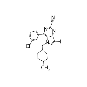 CC1CCC(Cn2cc(I)c3nc(C#N)nc(-c4cccc(Cl)c4)c32)CC1